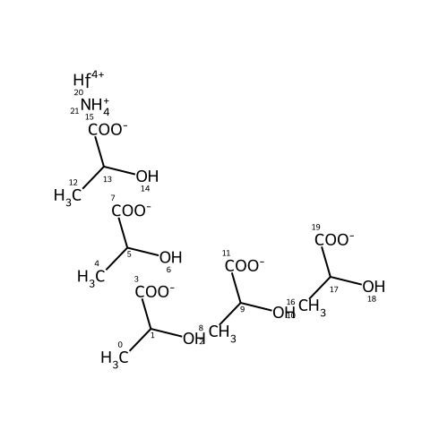 CC(O)C(=O)[O-].CC(O)C(=O)[O-].CC(O)C(=O)[O-].CC(O)C(=O)[O-].CC(O)C(=O)[O-].[Hf+4].[NH4+]